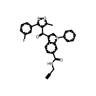 C#CCNC(=O)c1ccc2c(C(=O)c3c(-c4cccc(F)c4)noc3C)cn(-c3ccccc3)c2c1